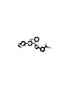 NC(=O)c1cccc(-c2cnc(N[C@@H]3CCCC[C@H]3N[C@H]3CCCN(c4ccc5ncnn5c4)C3)o2)c1